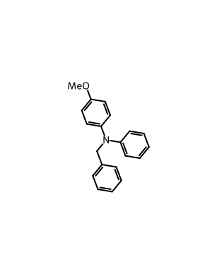 COc1ccc(N(Cc2ccccc2)c2ccccc2)cc1